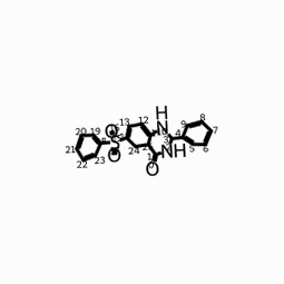 O=C1NC(c2ccccc2)NC2=CC=C(S(=O)(=O)c3ccccc3)CC12